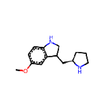 COc1ccc2c(c1)C(C[C@H]1CCCN1)CN2